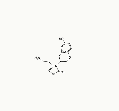 NCCC1=C[N]C(=S)N1[C@H]1COc2ccc(O)cc2C1